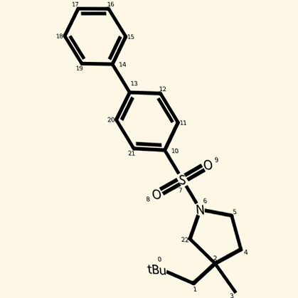 CC(C)(C)CC1(C)CCN(S(=O)(=O)c2ccc(-c3ccccc3)cc2)C1